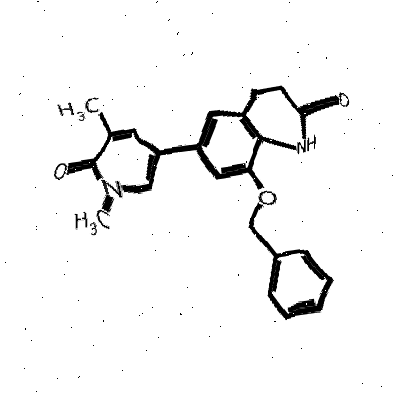 Cc1cc(-c2cc3c(c(OCc4ccccc4)c2)NC(=O)CC3)cn(C)c1=O